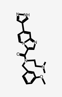 COc1cccc(CN(CCN(C)C)C(=O)c2cnc3cc(-c4cn[nH]c4)ccn23)c1